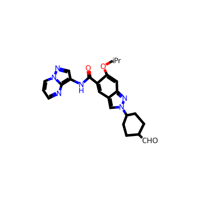 CC(C)Oc1cc2nn(C3CCC(C=O)CC3)cc2cc1C(=O)Nc1cnn2cccnc12